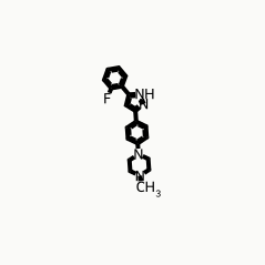 CN1CCN(c2ccc(-c3cc(-c4ccccc4F)[nH]n3)cc2)CC1